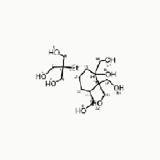 CCC(CO)(CO)CO.OCC1CCCC(O)(CO)C1(CO)CO